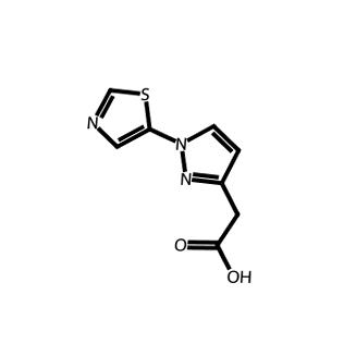 O=C(O)Cc1ccn(-c2cncs2)n1